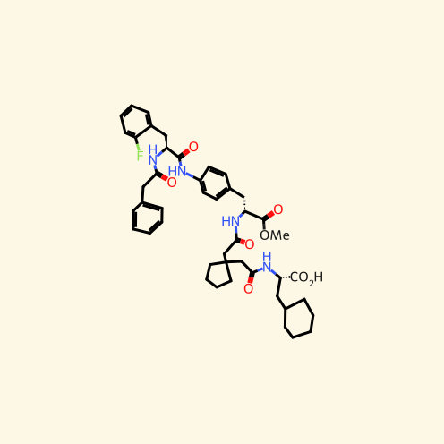 COC(=O)[C@@H](Cc1ccc(NC(=O)[C@H](Cc2ccccc2F)NC(=O)Cc2ccccc2)cc1)NC(=O)CC1(CC(=O)N[C@@H](CC2CCCCC2)C(=O)O)CCCC1